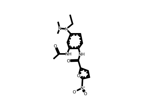 CCN(c1ccc(NC(=O)c2ccc([N+](=O)[O-])o2)c(NC(C)=O)c1)N(C)C